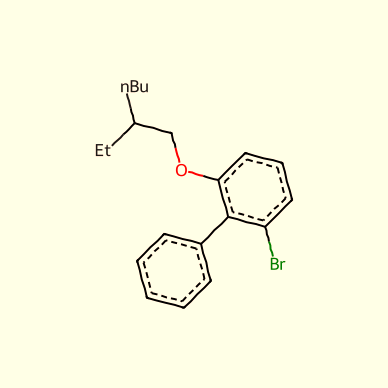 CCCCC(CC)COc1cccc(Br)c1-c1ccccc1